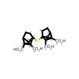 O=C(O)C1=C(C(=O)O)C2(SC34CCC(C3)C(C(=O)O)=C4C(=O)O)CCC1C2